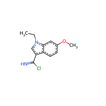 CCn1cc(C(=N)Cl)c2ccc(OC)cc21